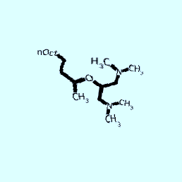 CCCCCCCCCCC(C)OC(CN(C)C)CN(C)C